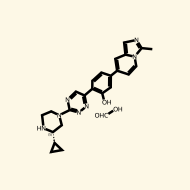 Cc1ncc2cc(-c3ccc(-c4cnc(N5CCN[C@@H](C6CC6)C5)nn4)c(O)c3)ccn12.O=CO